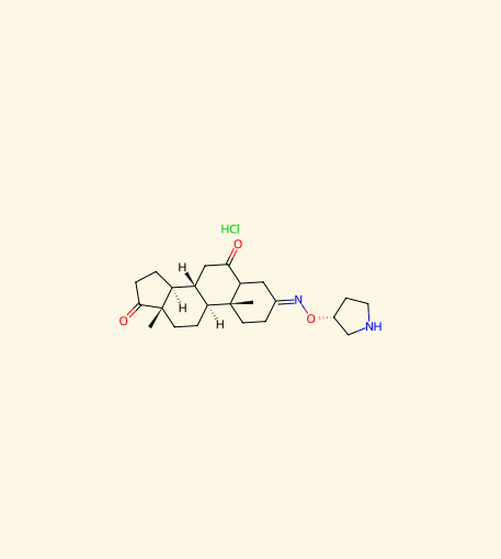 C[C@]12CCC(=NO[C@@H]3CCNC3)CC1C(=O)C[C@@H]1[C@@H]2CC[C@]2(C)C(=O)CC[C@@H]12.Cl